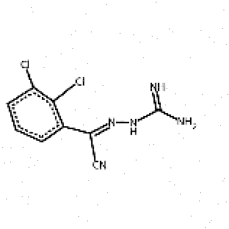 N#C/C(=N\NC(=N)N)c1cccc(Cl)c1Cl